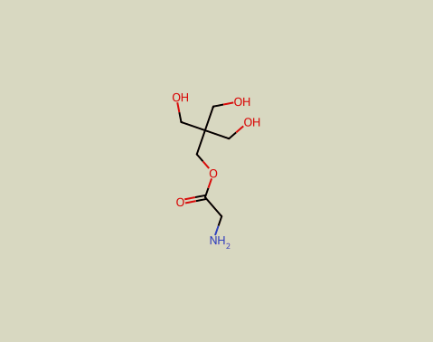 NCC(=O)OCC(CO)(CO)CO